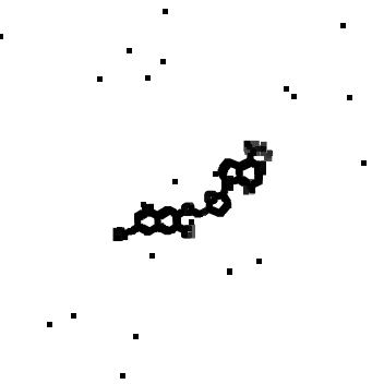 Nc1ncnc2c1ccn2[C@H]1CC[C@@H](COc2cc3ncc(Br)cc3cc2Cl)O1